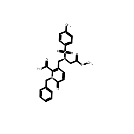 COC(=O)CN(Cc1ccc(=O)n(Cc2ccccc2)c1C(=O)O)S(=O)(=O)c1ccc(C)cc1